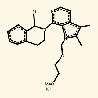 CCC1c2ccccc2CCN1c1nccc2c(C)c(C)n(COCCOC)c12.Cl